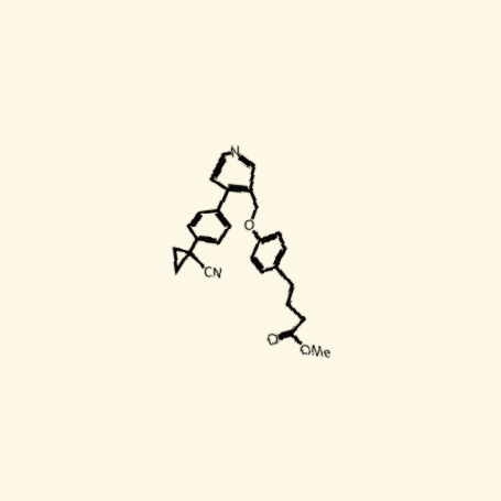 COC(=O)CCCc1ccc(OCc2cnccc2-c2ccc(C3(C#N)CC3)cc2)cc1